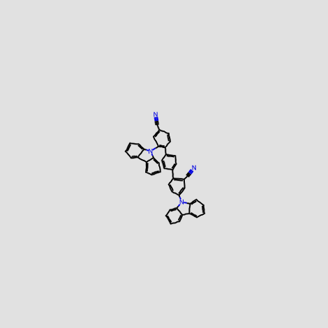 N#Cc1ccc(-c2ccc(-c3ccc(-n4c5ccccc5c5ccccc54)cc3C#N)cc2)c(-n2c3ccccc3c3ccccc32)c1